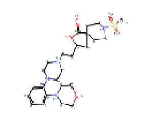 CS(=O)(=O)N1CCC2(CC1)CC(CCN1CCN(c3ccccc3N3CCOCC3)CC1)OC2=O